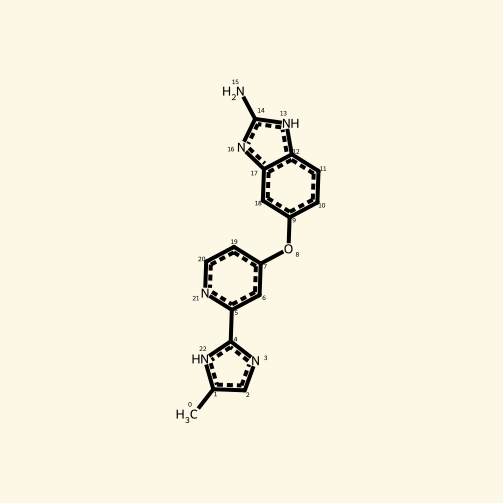 Cc1cnc(-c2cc(Oc3ccc4[nH]c(N)nc4c3)ccn2)[nH]1